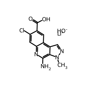 Cn1ncc2c3cc(C(=O)O)c(Cl)cc3nc(N)c21.[Li+].[OH-]